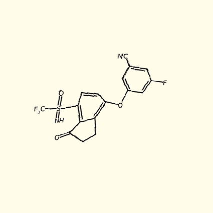 N#Cc1cc(F)cc(Oc2ccc(S(=N)(=O)C(F)(F)F)c3c2CCC3=O)c1